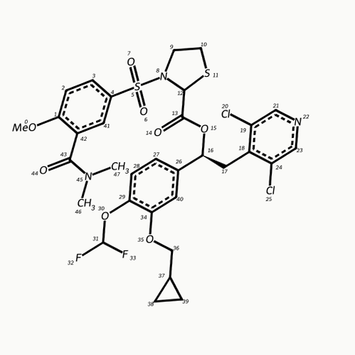 COc1ccc(S(=O)(=O)N2CCSC2C(=O)O[C@@H](Cc2c(Cl)cncc2Cl)c2ccc(OC(F)F)c(OCC3CC3)c2)cc1C(=O)N(C)C